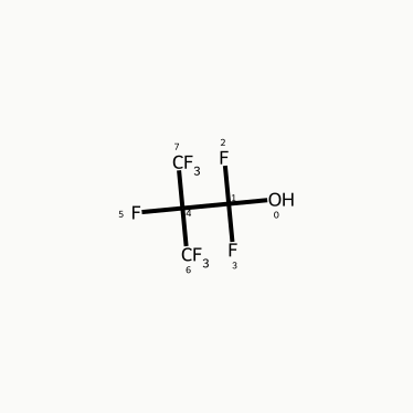 OC(F)(F)C(F)(C(F)(F)F)C(F)(F)F